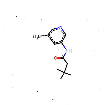 Bc1cncc(NC(=O)CC(C)(C)C)c1